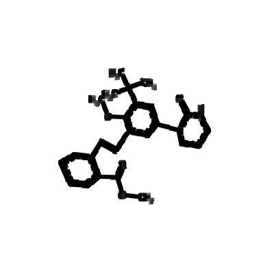 COC(=O)c1ccccc1/C=C/c1cc(-c2ccc[nH]c2=O)cc(C(C)(C)C)c1OC